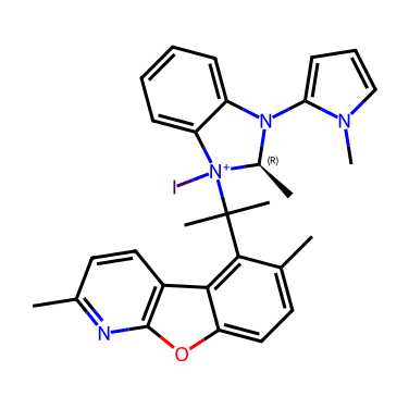 Cc1ccc2c(n1)oc1ccc(C)c(C(C)(C)[N+]3(I)c4ccccc4N(c4cccn4C)[C@H]3C)c12